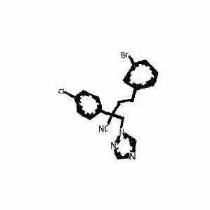 N#CC(CCc1cccc(Br)c1)(Cn1cncn1)c1ccc(Cl)cc1